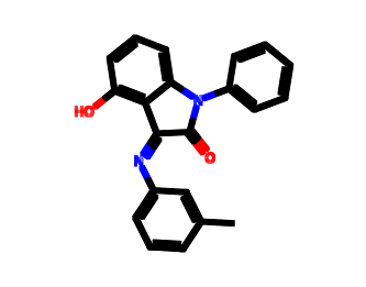 Cc1cccc(N=C2C(=O)N(c3ccccc3)c3cccc(O)c32)c1